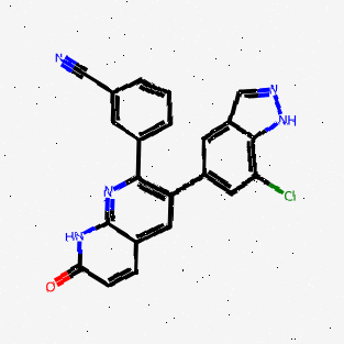 N#Cc1cccc(-c2nc3[nH]c(=O)ccc3cc2-c2cc(Cl)c3[nH]ncc3c2)c1